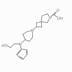 O=C(O)N1CCC2(CC(N3CCC(N(CCO)c4ccccc4)CC3)C2)C1